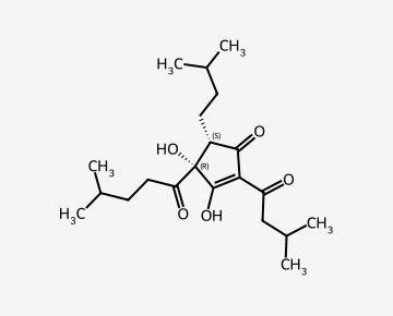 CC(C)CCC(=O)[C@]1(O)C(O)=C(C(=O)CC(C)C)C(=O)[C@H]1CCC(C)C